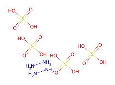 NN.NN.O=S(=O)(O)O.O=S(=O)(O)O.O=S(=O)(O)O.O=S(=O)(O)O